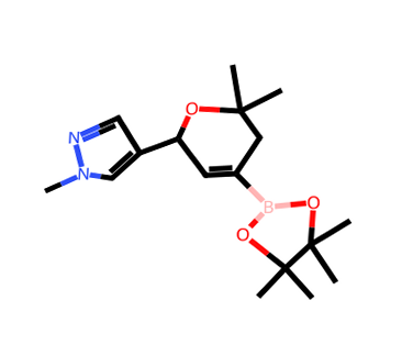 Cn1cc(C2C=C(B3OC(C)(C)C(C)(C)O3)CC(C)(C)O2)cn1